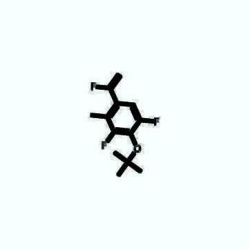 C=C(F)c1cc(F)c(OC(C)(C)C)c(F)c1C